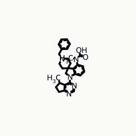 CC1CCc2ncnc(N3CC4(CCN(Cc5ccccc5)CC4)c4c(N(C)C(=O)O)cccc43)c21